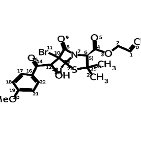 C=CCOC(=O)[C@@H]1N2C(=O)C(Br)(C(O)C(=O)c3ccc(OC)cc3)[C@H]2SC1(C)C